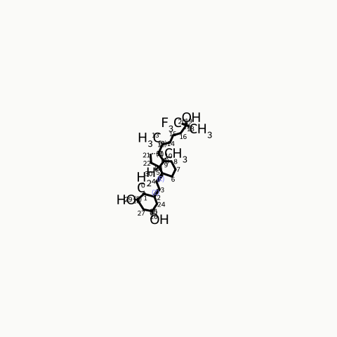 C=C1/C(=C\C=C2/CCC[C@]3(C)[C@@H]([C@H](C)CCCC(C)(O)C(F)(F)F)CC[C@@H]23)C[C@@H](O)C[C@@H]1O